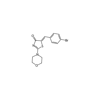 O=C1N=C(N2CCOCC2)SC1=Cc1ccc(Br)cc1